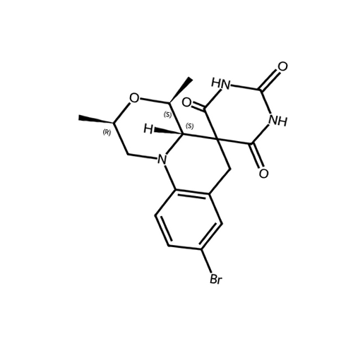 C[C@@H]1CN2c3ccc(Br)cc3CC3(C(=O)NC(=O)NC3=O)[C@H]2[C@H](C)O1